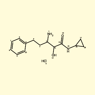 Cl.NC(CCc1ccccc1)C(O)C(=O)NC1CC1